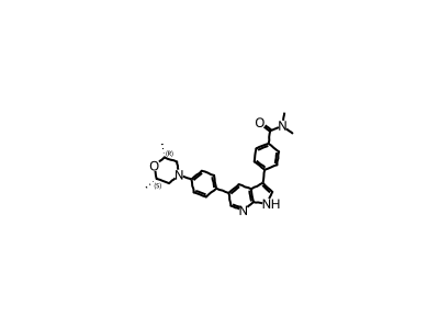 C[C@@H]1CN(c2ccc(-c3cnc4[nH]cc(-c5ccc(C(=O)N(C)C)cc5)c4c3)cc2)C[C@H](C)O1